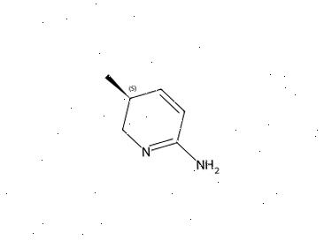 C[C@H]1C=CC(N)=NC1